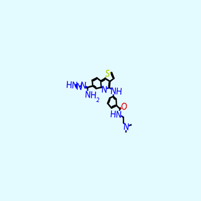 CN(C)CCNC(=O)c1cccc(Nc2nc3cc(/C(N)=N/N=N)ccc3c3sccc23)c1